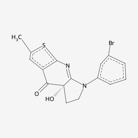 Cc1cc2c(s1)N=C1N(c3cccc(Br)c3)CC[C@@]1(O)C2=O